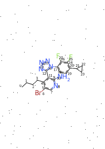 CCCCc1c(Br)cnc(N)c1-c1nnnn1-c1ccc(C2CC2)c(F)c1F